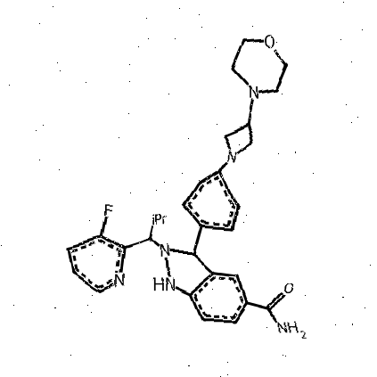 CC(C)C(c1ncccc1F)N1Nc2ccc(C(N)=O)cc2C1c1ccc(N2CC(N3CCOCC3)C2)cc1